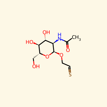 CC(=O)N[C@H]1[C@@H](OCC=S)O[C@H](CO)[C@@H](O)[C@@H]1O